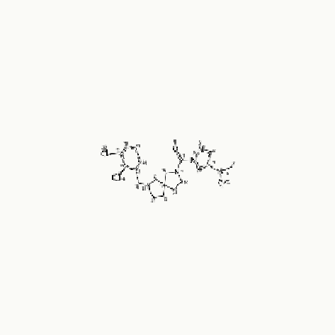 CC(=O)N(C)c1cnn(C(=O)N2CCC3(CCN(Cc4cccc(Cl)c4Cl)C3)C2)c1